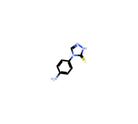 Nc1ccc(-n2cn[nH]c2=S)cc1